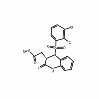 CNC(=O)C[C@@H]1C(=O)Nc2ccccc2N1S(=O)(=O)c1cccc(Cl)c1Cl